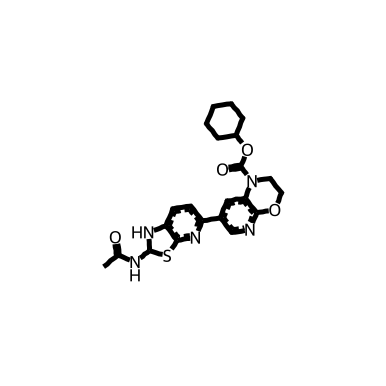 CC(=O)NC1Nc2ccc(-c3cnc4c(c3)N(C(=O)OC3CCCCC3)CCO4)nc2S1